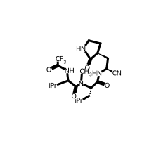 CC(C)C[C@@H](C(=O)N[C@H](C#N)C[C@@H]1CCNC1=O)N(C)C(=O)C(NC(=O)C(F)(F)F)C(C)C